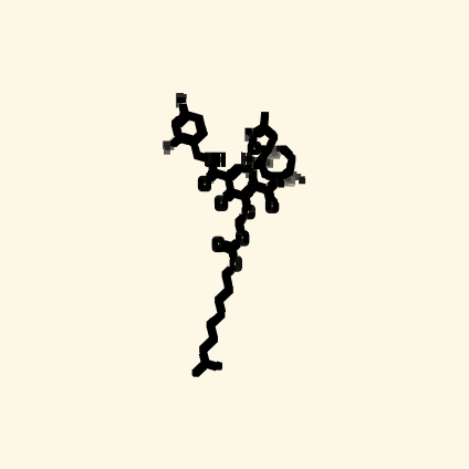 CC1=NO[C@@]2(CC[C@H](C)N3C[C@H]2n2cc(C(=O)NCc4ccc(F)cc4F)c(=O)c(OCOC(=O)OCCCCCCCC(C)C)c2C3=O)C1